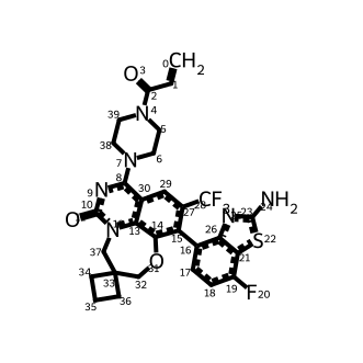 C=CC(=O)N1CCN(c2nc(=O)n3c4c(c(-c5ccc(F)c6sc(N)nc56)c(C(F)(F)F)cc24)OCC2(CCC2)C3)CC1